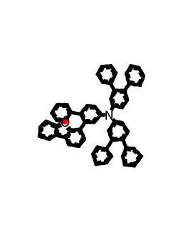 c1ccc(-c2ccc(N(c3ccc(-c4ccccc4)c(-c4ccccc4)c3)c3ccc(-c4ccccc4)c(-c4cccc5c4oc4ccccc45)c3)cc2-c2ccccc2)cc1